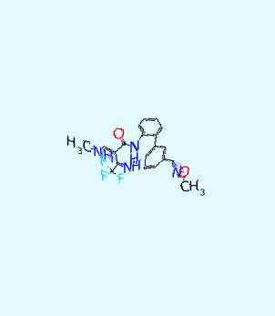 CN/C=C(\C(=N)C(F)(F)F)C(=O)Nc1ccccc1-c1cccc(/C=N/OC)c1